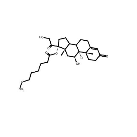 C[C@]12CCC(=O)C=C1CCC1C3CC[C@](OC(=O)CCCCCO[N+](=O)[O-])(C(=O)CO)[C@@]3(C)C[C@H](O)[C@@H]12